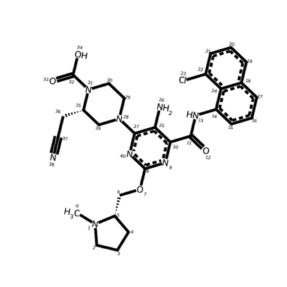 CN1CCC[C@H]1COc1nc(C(=O)Nc2cccc3cccc(Cl)c23)c(N)c(N2CCN(C(=O)O)[C@@H](CC#N)C2)n1